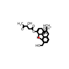 CC(=O)[C@H](O)CC(=O)OC1=CC[C@@]2(O)[C@H]3Cc4ccc(CO)c5c4[C@@]2(CCN3C)[C@H]1O5